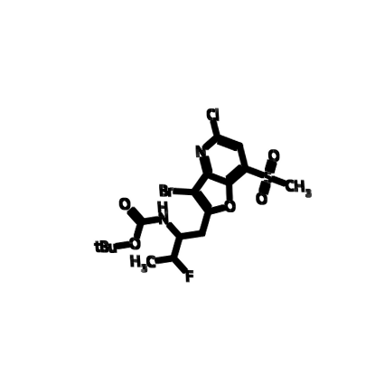 CC(F)C(Cc1oc2c(S(C)(=O)=O)cc(Cl)nc2c1Br)NC(=O)OC(C)(C)C